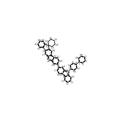 c1ccc(-c2ccc(-n3c4ccccc4c4ccc(-c5ccc6c(c5)sc5cc7c(cc56)C5(CCCCC5)c5ccccc5-7)cc43)cc2)cc1